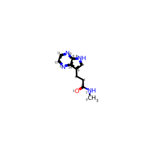 CNC(=O)CCc1c[nH]c2nccnc12